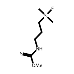 COC(=S)NCCC[Si](C)(C)F